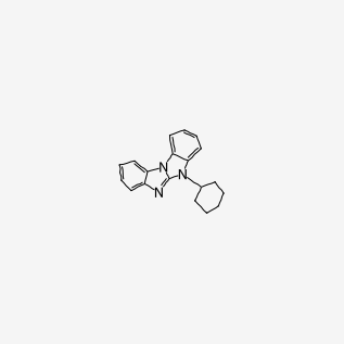 c1ccc2c(c1)nc1n(C3CCCCC3)c3ccccc3n21